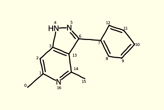 Cc1cc2[nH]nc(-c3ccccc3)c2c(C)n1